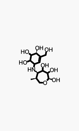 C[C@@H]1CO[C@H](O)C(O)C(O)[C@@H]1NC1C=C(CO)[C@@H](O)C(O)C1O